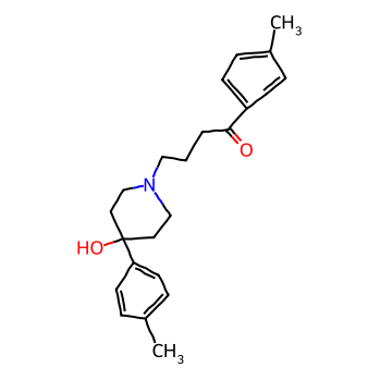 Cc1ccc(C(=O)CCCN2CCC(O)(c3ccc(C)cc3)CC2)cc1